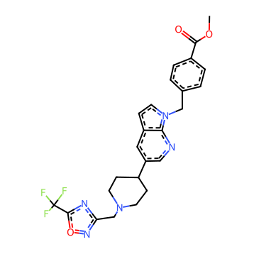 COC(=O)c1ccc(Cn2ccc3cc(C4CCN(Cc5noc(C(F)(F)F)n5)CC4)cnc32)cc1